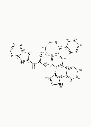 O=C(Nc1nc2ccccc2s1)Nc1cc(-c2ccccc2-c2nnn[nH]2)cc2c1OCCCC2c1ccccc1